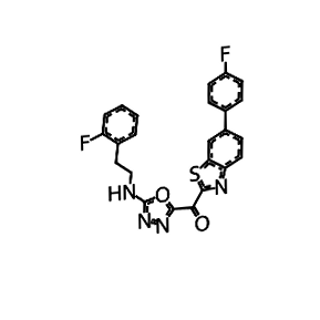 O=C(c1nnc(NCCc2ccccc2F)o1)c1nc2ccc(-c3ccc(F)cc3)cc2s1